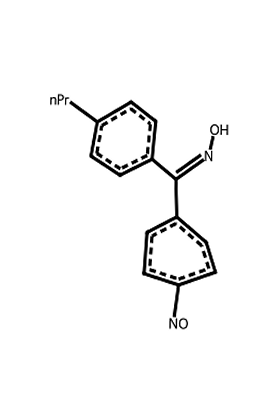 CCCc1ccc(/C(=N\O)c2ccc(N=O)cc2)cc1